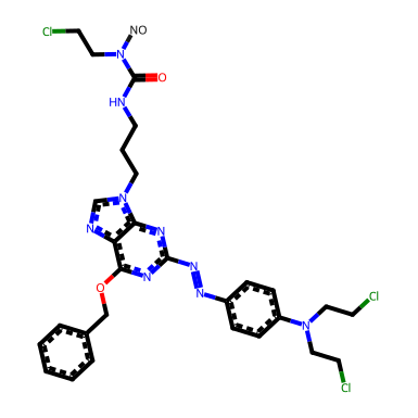 O=NN(CCCl)C(=O)NCCCn1cnc2c(OCc3ccccc3)nc(/N=N/c3ccc(N(CCCl)CCCl)cc3)nc21